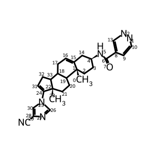 C[C@]12CC[C@H](NC(=O)c3ccnnc3)CC1=CCC1C2CC[C@]2(C)C(n3cnc(C#N)c3)=CCC12